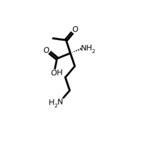 CC(=O)[C@@](N)(CCCN)C(=O)O